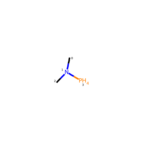 CN(C)[PH4]